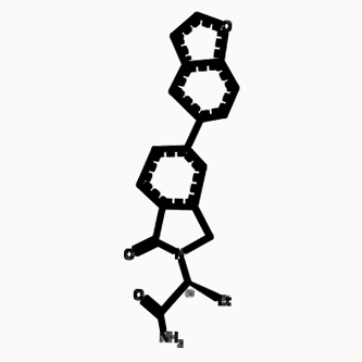 CC[C@@H](C(N)=O)N1Cc2cc(-c3ccc4occc4c3)ccc2C1=O